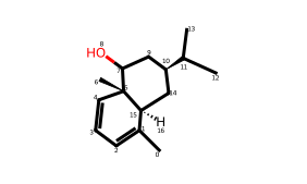 CC1=CC=C[C@]2(C)C(O)C[C@@H](C(C)C)C[C@@H]12